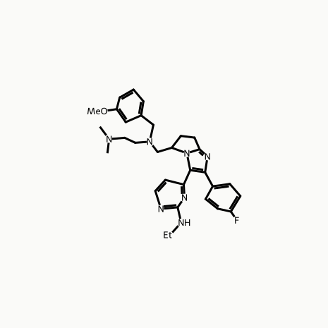 CCNc1nccc(-c2c(-c3ccc(F)cc3)nc3n2C(CN(CCN(C)C)Cc2cccc(OC)c2)CC3)n1